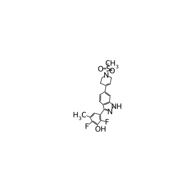 Cc1cc(-c2n[nH]c3cc(C4=CCN(S(C)(=O)=O)CC4)ccc23)c(F)c(O)c1F